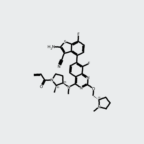 C=CC(=O)N1CC[C@@H](N(C)c2nc(OC[C@@H]3CCCN3C)nc3c(F)c(-c4ccc(F)c5sc(N)c(C#N)c45)ccc23)[C@H]1C